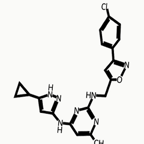 Cc1cc(Nc2cc(C3CC3)[nH]n2)nc(NCc2cc(-c3ccc(Cl)cc3)no2)n1